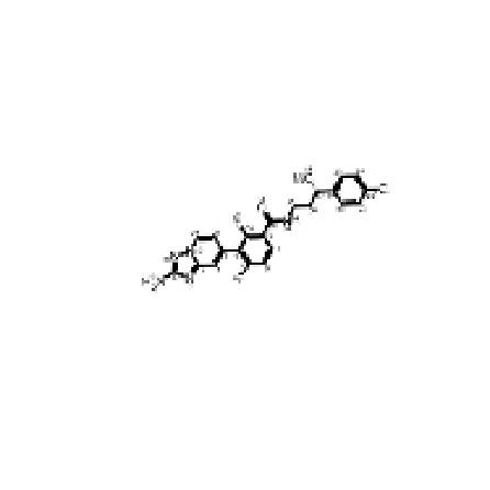 Nc1nc2cc(-c3c(F)ccc(C(=O)NCC[C@H](O)c4ccc(Cl)cc4)c3F)ccn2n1